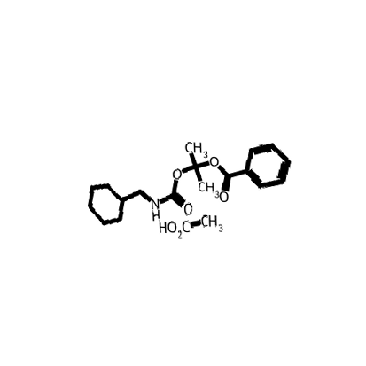 CC(=O)O.CC(C)(OC(=O)NCC1CCCCC1)OC(=O)c1ccccc1